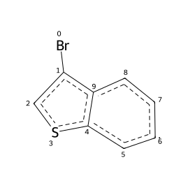 Brc1csc2c[c]ccc12